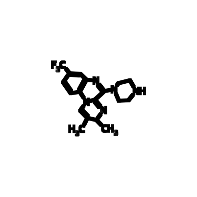 CC1=CN2C(=NC1C)C(N1CCNCC1)=Nc1cc(C(F)(F)F)ccc12